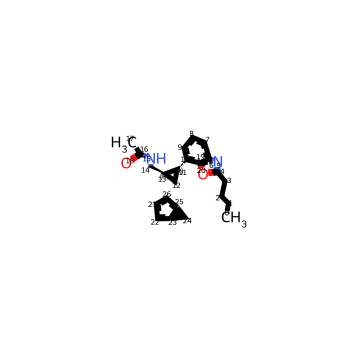 CCCCc1nc2cccc([C@@H]3C[C@H]3CNC(C)=O)c2o1.c1cc2cc-2c1